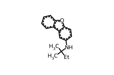 CCC(C)(C)Nc1ccc2oc3ccccc3c2c1